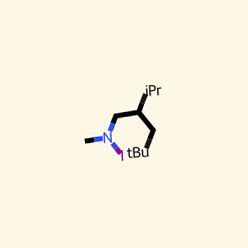 CC(C)C(CN(C)I)CC(C)(C)C